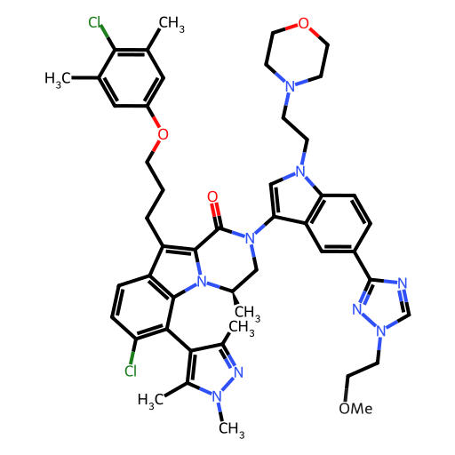 COCCn1cnc(-c2ccc3c(c2)c(N2C[C@@H](C)n4c(c(CCCOc5cc(C)c(Cl)c(C)c5)c5ccc(Cl)c(-c6c(C)nn(C)c6C)c54)C2=O)cn3CCN2CCOCC2)n1